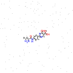 C[C@H](N)C(=O)Nc1ccc(-c2ncc(C(=O)O)c(O)n2)cc1